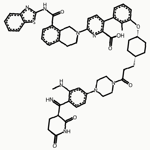 CNc1cc(N2CCN(C(=O)CC[C@H]3CC[C@@H](Oc4cccc(-c5ccc(N6CCc7cccc(C(=O)Nc8nc9ccccc9s8)c7C6)nc5C(=O)O)c4C)CC3)CC2)ccc1C(=N)C1CCC(=O)NC1=O